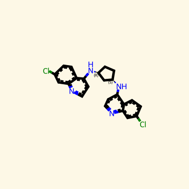 Clc1ccc2c(N[C@@H]3CC[C@H](Nc4ccnc5cc(Cl)ccc45)C3)ccnc2c1